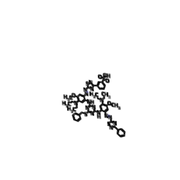 CCN(CC)c1cc(Nc2nc(Nc3cc(N(CC)CC)c(OC)cc3/N=N/c3nc(-c4cccc(S(=O)(=O)O)c4)ns3)nc(SCc3ccccc3)n2)c(/N=N/c2nc(-c3ccccc3)ns2)cc1OC